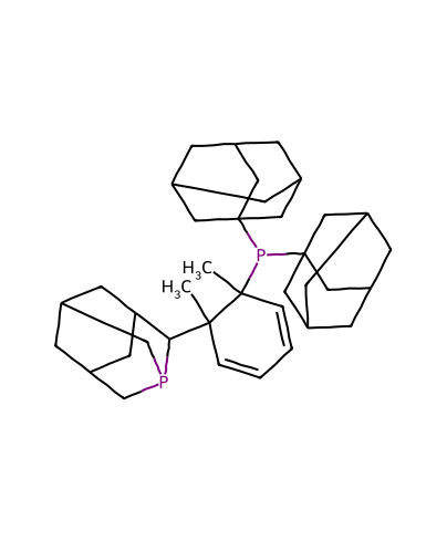 CC1(C2C3CC4CC(C3)CP2C4)C=CC=CC1(C)P(C12CC3CC(CC(C3)C1)C2)C12CC3CC(CC(C3)C1)C2